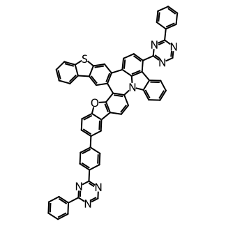 c1ccc(-c2ncnc(-c3ccc(-c4ccc5oc6c7c(ccc6c5c4)-n4c5ccccc5c5c(-c6ncnc(-c8ccccc8)n6)ccc(c54)-c4cc5sc6ccccc6c5cc4-7)cc3)n2)cc1